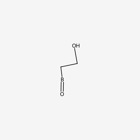 O=BCCO